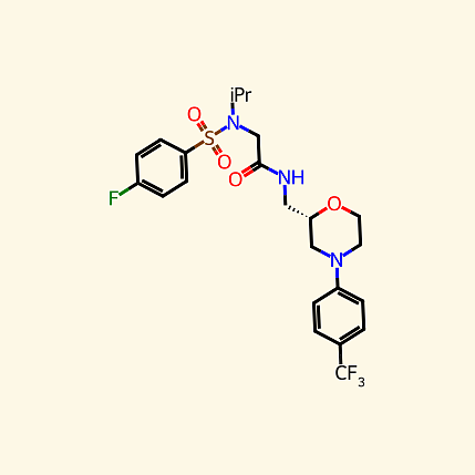 CC(C)N(CC(=O)NC[C@H]1CN(c2ccc(C(F)(F)F)cc2)CCO1)S(=O)(=O)c1ccc(F)cc1